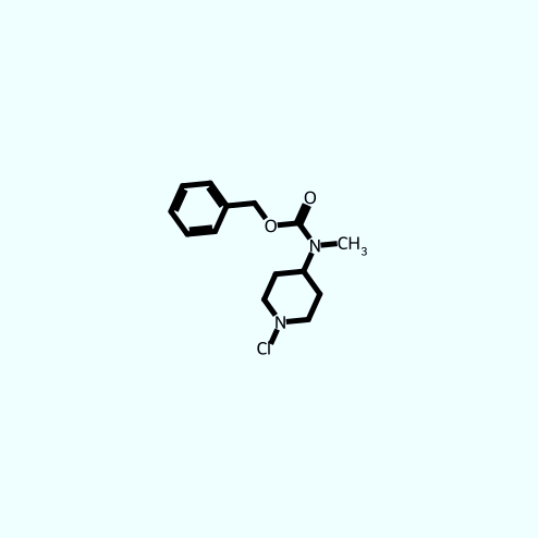 CN(C(=O)OCc1ccccc1)C1CCN(Cl)CC1